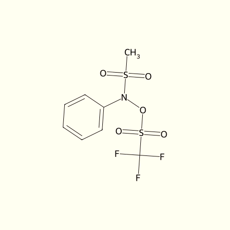 CS(=O)(=O)N(OS(=O)(=O)C(F)(F)F)c1ccccc1